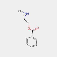 CC(C)NCCOC(=O)c1ccccc1